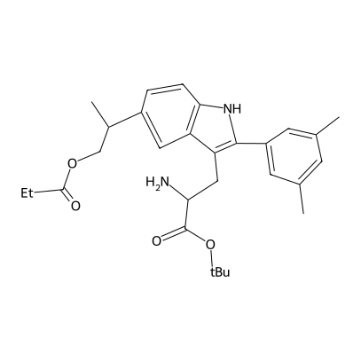 CCC(=O)OCC(C)c1ccc2[nH]c(-c3cc(C)cc(C)c3)c(CC(N)C(=O)OC(C)(C)C)c2c1